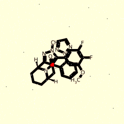 COc1cc(-c2c3c(nn2C)[C@H]2CCC[C@@H](C3)N2C(=O)c2ccccc2-n2nccn2)cc(F)c1F